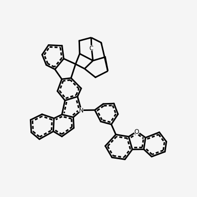 c1cc(-c2cccc3c2oc2ccccc23)cc(-n2c3cc4c(cc3c3c5ccccc5ccc32)-c2ccccc2C42C3CC4CC5CC2C3(C4)C5)c1